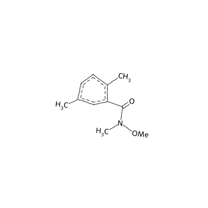 CON(C)C(=O)c1cc(C)ccc1C